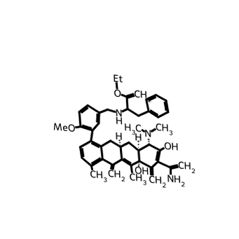 C=C(N)C1=C(O)[C@@H](N(C)C)[C@@H]2C[C@@H]3Cc4c(-c5cc(CNC(Cc6ccccc6)C(=C)OCC)ccc5OC)ccc(C)c4C(=C)C3=C(C)[C@]2(O)C1=C